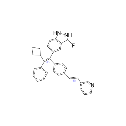 FC1NNc2ccc(/C(=C(/c3ccccc3)C3CCC3)c3ccc(/C=C/c4cccnc4)cc3)cc21